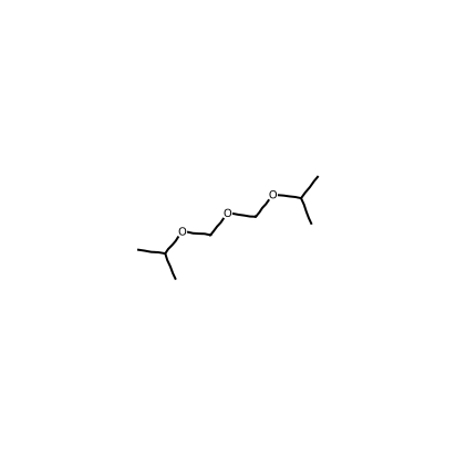 CC(C)OCOCOC(C)C